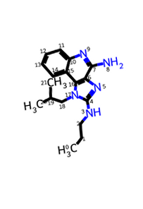 CCCNc1nc2c(N)nc3ccccc3c2n1CC(C)C